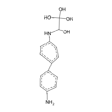 Nc1ccc(-c2ccc(NC(O)C(O)(O)O)cc2)cc1